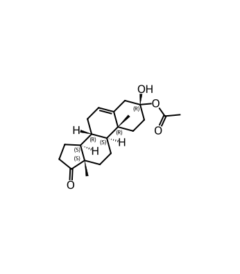 CC(=O)O[C@]1(O)CC[C@@]2(C)C(=CC[C@@H]3[C@@H]2CC[C@]2(C)C(=O)CC[C@@H]32)C1